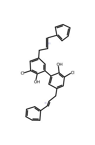 Oc1c(Cl)cc(C/C=C/c2ccccc2)cc1-c1cc(C/C=C/c2ccccc2)cc(Cl)c1O